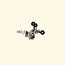 CCC(C)[C@@H](NC(=O)[C@H](Cc1c[nH]cn1)NC(=O)[C@@H](Cc1cccc2ccccc12)NC(=O)OCc1ccccc1)O/[P+]([O-])=C/C(=O)O